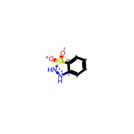 O=S1(=O)NNc2ccccc21